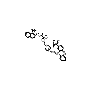 CC(COc1ccc2ccccc2c1N(C)C)C(=O)OCCN1CCN(CCCN2c3ccccc3Sc3ccc(C(F)(F)F)cc32)CC1